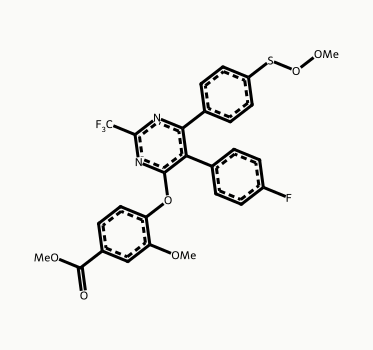 COOSc1ccc(-c2nc(C(F)(F)F)nc(Oc3ccc(C(=O)OC)cc3OC)c2-c2ccc(F)cc2)cc1